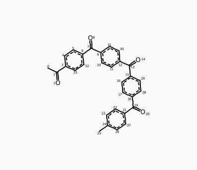 CC(=O)c1ccc(C(=O)c2ccc(C(=O)c3ccc(C(=O)c4ccc(C)cc4)cc3)cc2)cc1